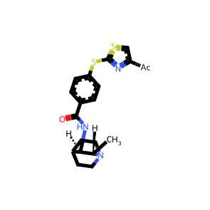 CC(=O)c1csc(Sc2ccc(C(=O)N[C@@H]3C4CCN(CC4)[C@H]3C)cc2)n1